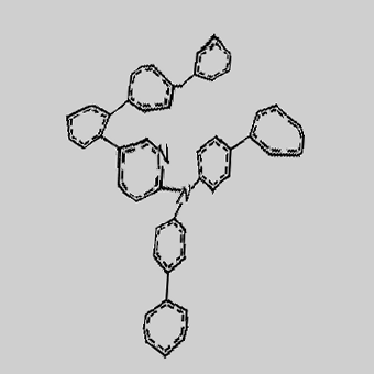 c1ccc(-c2ccc(-c3ccccc3-c3ccc(N(c4ccc(-c5ccccc5)cc4)c4ccc(-c5ccccc5)cc4)nc3)cc2)cc1